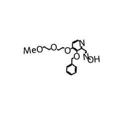 COCCOCCOc1ccnc(C=NO)c1OCc1ccccc1